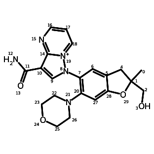 CC1(CO)Cc2cc(-n3cc(C(N)=O)c4nccc[n+]43)c(N3CCOCC3)cc2O1